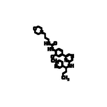 CCCC(Nc1cncc(-c2ccc(NC(=O)NCCCN3CCOCC3)c(OC)c2)n1)c1cccnc1